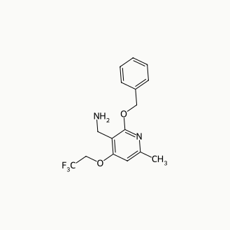 Cc1cc(OCC(F)(F)F)c(CN)c(OCc2ccccc2)n1